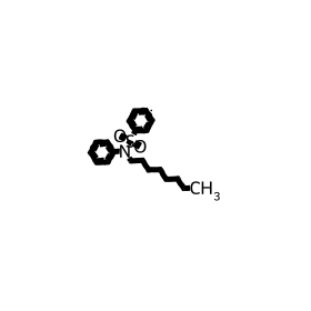 CCCCCCCCN(c1ccccc1)S(=O)(=O)c1cc[c]cc1